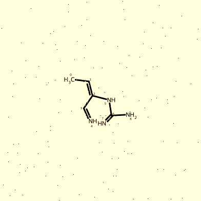 C/C=C(\C=N)NC(=N)N